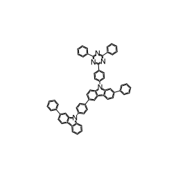 c1ccc(-c2ccc3c4ccccc4n(-c4ccc(-c5ccc6c(c5)c5ccc(-c7ccccc7)cc5n6-c5ccc(-c6nc(-c7ccccc7)nc(-c7ccccc7)n6)cc5)cc4)c3c2)cc1